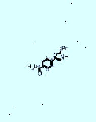 CC(C)c1nc(-c2ccc(C(N)=O)cc2)c[nH]1